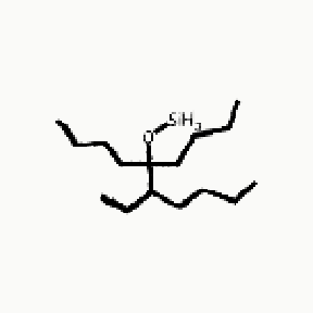 CCCCC(CC)C(CCCC)(CCCC)O[SiH3]